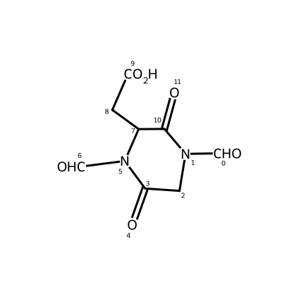 O=CN1CC(=O)N(C=O)C(CC(=O)O)C1=O